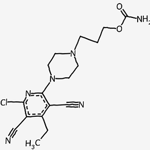 CCc1c(C#N)c(Cl)nc(N2CCN(CCCOC(N)=O)CC2)c1C#N